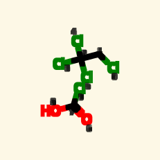 ClCC(Cl)(Cl)Cl.O=C(O)Cl